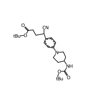 CC(C)(C)OC(=O)CCC(C#N)c1ccc(N2CCC(NC(=O)OC(C)(C)C)CC2)cc1